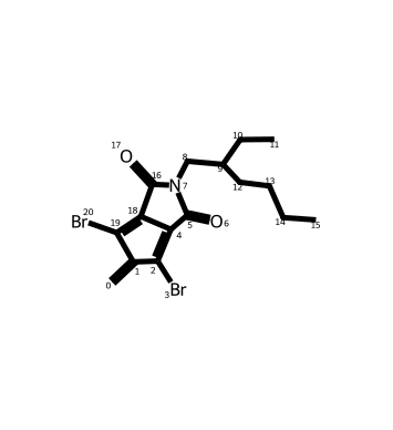 C=C1C(Br)=C2C(=O)N(CC(CC)CCCC)C(=O)C2=C1Br